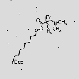 CCCCCCCCCCCCCCCCCCOOC(=O)C(C)(CCC)CN(C)C